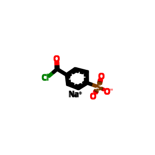 O=C(Cl)c1ccc(S(=O)(=O)[O-])cc1.[Na+]